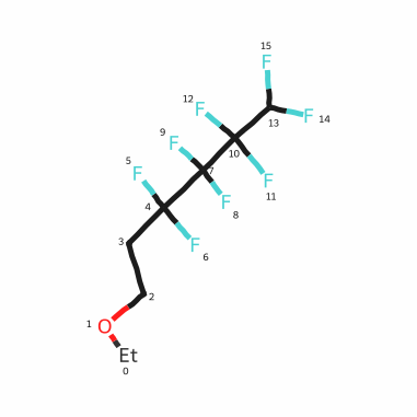 [CH2]COCCC(F)(F)C(F)(F)C(F)(F)C(F)F